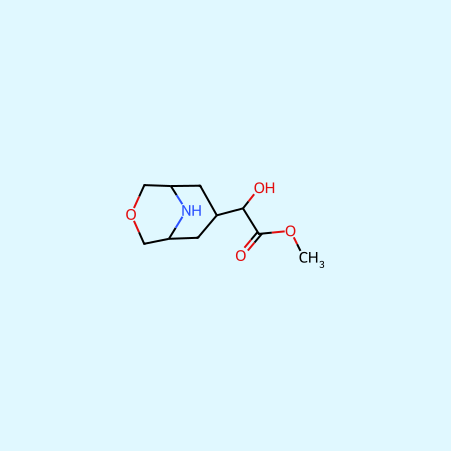 COC(=O)C(O)C1CC2COCC(C1)N2